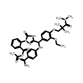 CCOc1cc(C(Nc2ccc(C(=N)N)cc2)c2nn(-c3ccccc3C(=O)OC(C)=O)c(=O)[nH]2)ccc1OCC(C)(C)C(=O)N(C)C